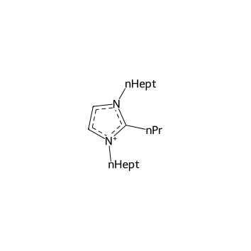 CCCCCCCn1cc[n+](CCCCCCC)c1CCC